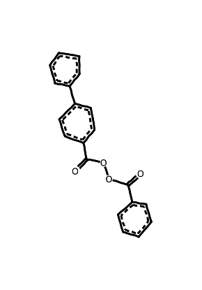 O=C(OOC(=O)c1ccc(-c2ccccc2)cc1)c1ccccc1